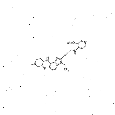 COc1c[c]ccc1NCC#Cc1sc2c(N[C@@H]3CCN(C)C[C@@H]3F)cccc2c1CC(F)(F)F